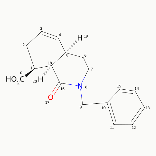 O=C(O)[C@H]1CC=C[C@H]2CCN(Cc3ccccc3)C(=O)[C@@H]12